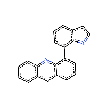 c1ccc2nc3c(-c4cccc5cc[nH]c45)cccc3cc2c1